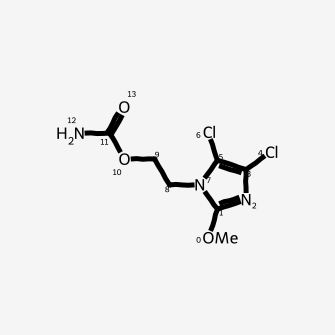 COc1nc(Cl)c(Cl)n1CCOC(N)=O